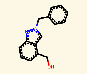 OCc1cccc2nn(Cc3ccccc3)cc12